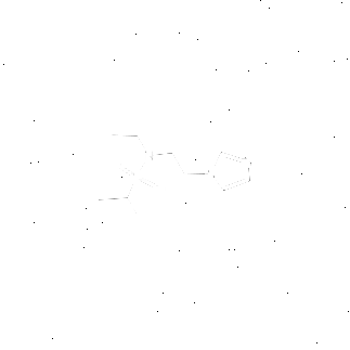 CCN(CCn1ccnc1)S(=O)(=O)C(C)C